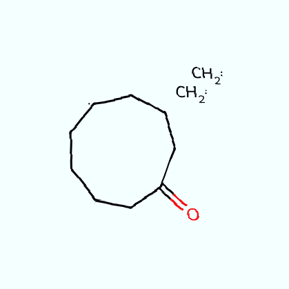 O=C1CCC[CH]CCCC1.[CH2].[CH2]